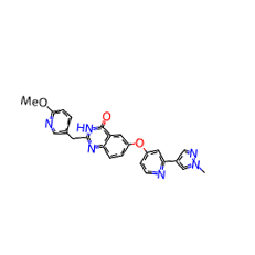 COc1ccc(Cc2nc3ccc(Oc4ccnc(-c5cnn(C)c5)c4)cc3c(=O)[nH]2)cn1